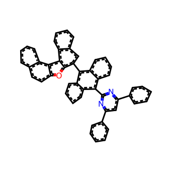 c1ccc(-c2cc(-c3ccccc3)nc(-c3c4ccccc4c(-c4cc5ccccc5c5c4oc4ccc6ccccc6c45)c4ccccc34)n2)cc1